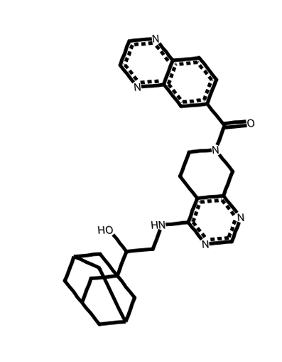 O=C(c1ccc2nccnc2c1)N1CCc2c(ncnc2NCC(O)C23CC4CC(CC(C4)C2)C3)C1